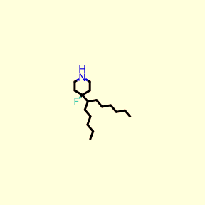 CCCCCCC(CCCCC)C1(F)CCNCC1